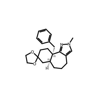 Cn1cc2c(n1)[C@]1(Cc3ccccc3)CCC3(C[C@@H]1CCC2)OCCO3